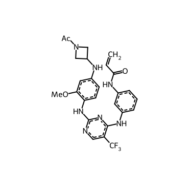 C=CC(=O)Nc1cccc(Nc2nc(Nc3ccc(NC4CN(C(C)=O)C4)cc3OC)ncc2C(F)(F)F)c1